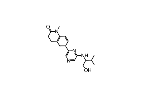 CC(C)C(CO)Nc1cncc(-c2ccc3c(c2)CCC(=O)N3C)n1